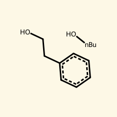 CCCCO.OCCc1ccccc1